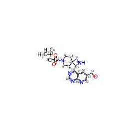 CC(C)(C)OC(=O)N1CCC2(CC1)CNC2c1ncnc2ncc(C=O)cc12